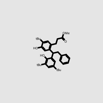 COC(=O)CCc1cc(C(C)(C)C)c(O)cc1C(Cc1ccccc1)c1cc(C(C)(C)C)cc(C(C)(C)C)c1O